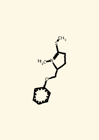 CSC1=[N+](C)C(COc2ccccc2)CC1